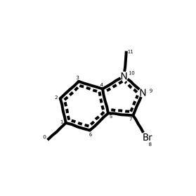 Cc1ccc2c(c1)c(Br)nn2C